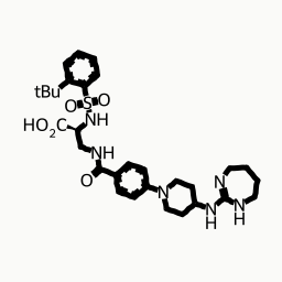 CC(C)(C)c1ccccc1S(=O)(=O)N[C@@H](CNC(=O)c1ccc(N2CCC(NC3=NCCCCN3)CC2)cc1)C(=O)O